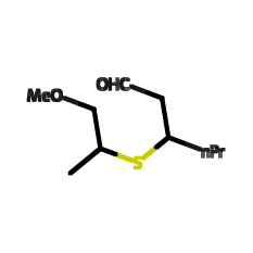 CCCC(CC=O)SC(C)COC